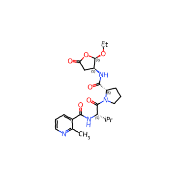 CCO[C@@H]1OC(=O)C[C@@H]1NC(=O)[C@@H]1CCCN1C(=O)[C@@H](NC(=O)c1cccnc1C)C(C)C